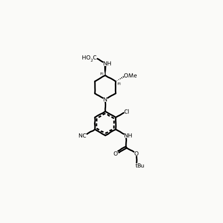 CO[C@@H]1CN(c2cc(C#N)cc(NC(=O)OC(C)(C)C)c2Cl)CC[C@H]1NC(=O)O